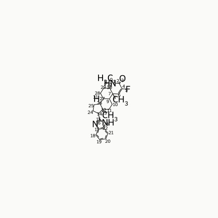 CN1C(=O)C(F)=C[C@]2(C)C3CC[C@]4(C)[C@@H](c5nc6ccccc6[nH]5)CC[C@H]4C3CC[C@@H]12